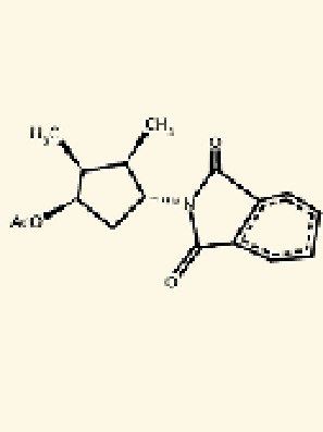 CC(=O)O[C@@H]1C[C@@H](N2C(=O)c3ccccc3C2=O)[C@H](C)[C@@H]1C